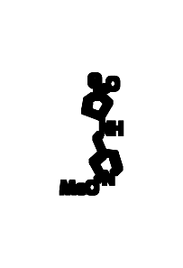 COc1cc(CN[C@@H]2C=CS(=O)(=O)C2)ccn1